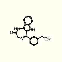 O=C1CN=C(c2cccc(CO)c2)c2[nH]c3ccccc3c2N1